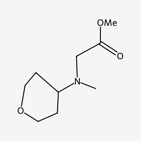 COC(=O)CN(C)C1CCOCC1